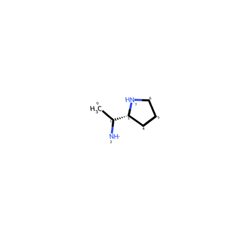 CC([NH])[C@H]1CCCN1